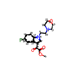 COC(=O)C(=O)c1cn(CCN2CCOCC2)c2ccc(F)cc12